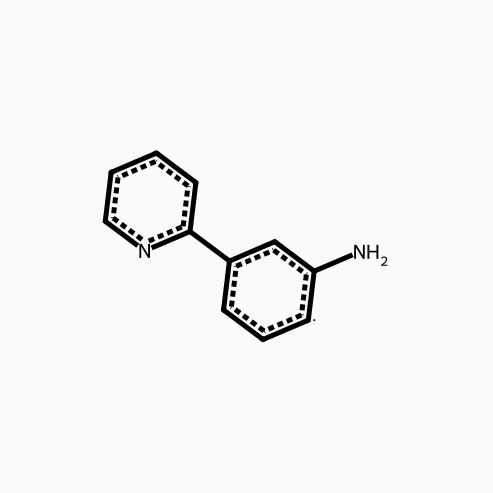 Nc1[c]ccc(-c2ccccn2)c1